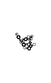 COc1ccc(CN(Cc2ccc(OC)cc2)S(=O)(=O)c2ccc3c(c2)N(C[C@@H]2CC[C@H]2COC(=O)Cl)C[C@@]2(CCCc4cc(Cl)ccc42)CO3)cc1